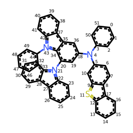 c1ccc(N(c2ccc3c(c2)sc2ccccc23)c2cc(-n3c4ccccc4c4ccccc43)c3c(c2)c2ccccc2n3-c2ccccc2)cc1